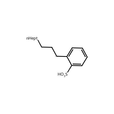 CCCCCCCCC[CH]c1ccccc1S(=O)(=O)O